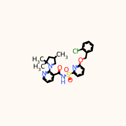 CC1CN(c2ncccc2C(=O)NS(=O)(=O)c2cccc(OCc3ccccc3Cl)n2)C(C)(C)C1